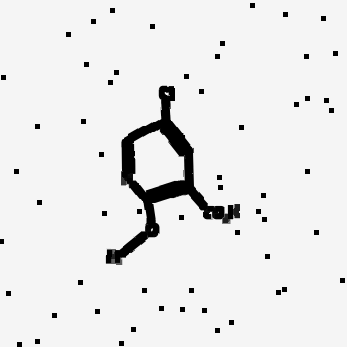 CCOc1ncc(Cl)cc1C(=O)O